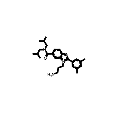 Cc1cc(C)cc(-c2nc3ccc(C(=O)N(CC(C)C)CC(C)C)cc3n2CCCN)c1